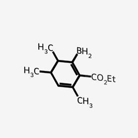 BC1=C(C(=O)OCC)C(C)=CC(C)C1C